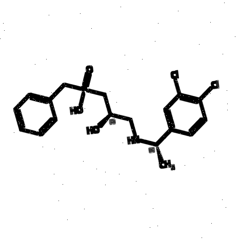 C[C@H](NC[C@@H](O)CP(=O)(O)Cc1ccccc1)c1ccc(Cl)c(Cl)c1